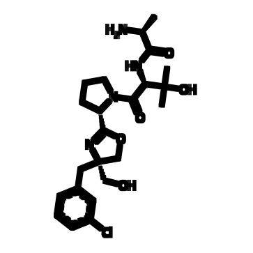 C[C@H](N)C(=O)N[C@H](C(=O)N1CCC[C@H]1C1=N[C@](CO)(Cc2cccc(Cl)c2)CO1)C(C)(C)O